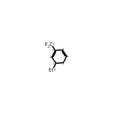 CCC1C=C(C(F)(F)F)C=CC1